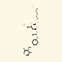 CCCCCCS(=O)(=O)c1nc(N[C@@H](Cc2ccc(NC(=O)c3c(Cl)cncc3Cl)cc2)C(=O)O)cc(C(=O)O)n1